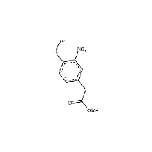 COC(=O)Cc1ccc(OC(C)C)c([N+](=O)[O-])c1